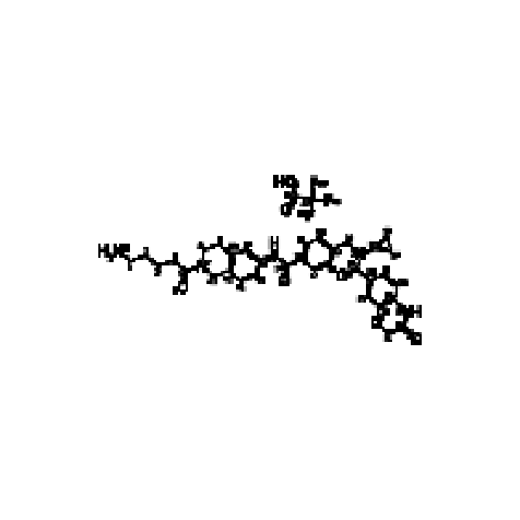 NCCCCC(=O)N1CCc2cc(NC(=O)c3ccc(CN(C(=O)c4ccc5c(c4)OCC(=O)N5)C4CC4)cc3)ccc2C1.O=C(O)C(F)(F)F